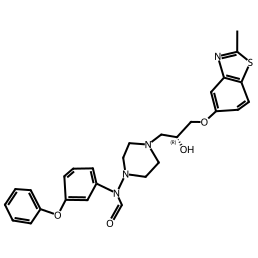 Cc1nc2cc(OC[C@H](O)CN3CCN(N(C=O)c4cccc(Oc5ccccc5)c4)CC3)ccc2s1